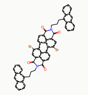 O=C1c2ccc3c4c(Br)cc5c6c(ccc(c7c(Br)cc(c2c37)C(=O)N1CCCc1c2ccccc2cc2ccccc12)c64)C(=O)N(CCCc1c2ccccc2cc2ccccc12)C5=O